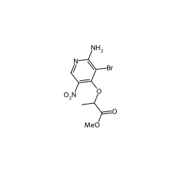 COC(=O)C(C)Oc1c([N+](=O)[O-])cnc(N)c1Br